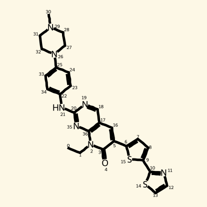 CCn1c(=O)c(-c2ccc(-c3nccs3)s2)cc2cnc(Nc3ccc(N4CCN(C)CC4)cc3)nc21